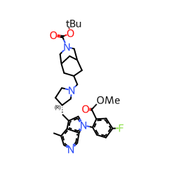 COC(=O)c1cc(F)ccc1-n1cc(C[C@@H]2CCN(CC3CC4CC(C3)CN(C(=O)OC(C)(C)C)C4)C2)c2c(C)cncc21